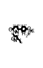 CCc1cc(Cn2nc(-c3ccc(OC(F)P)cc3)ccc2=O)on1